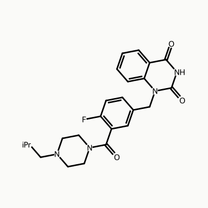 CC(C)CN1CCN(C(=O)c2cc(Cn3c(=O)[nH]c(=O)c4ccccc43)ccc2F)CC1